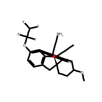 COC1CCC2(CC1)Cc1ccc(OC(F)(F)C(F)F)cc1[C@]21N=C(N)N(C)C1=O